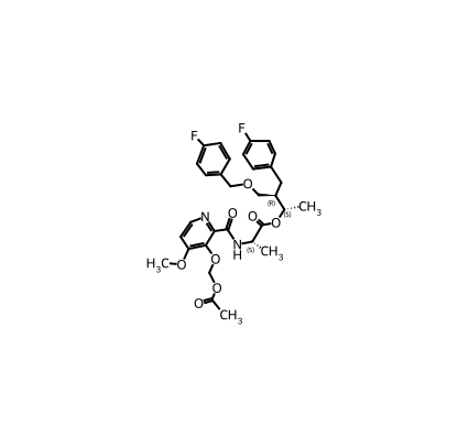 COc1ccnc(C(=O)N[C@@H](C)C(=O)O[C@@H](C)[C@@H](COCc2ccc(F)cc2)Cc2ccc(F)cc2)c1OCOC(C)=O